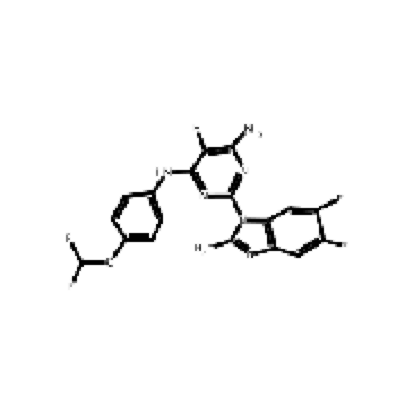 Cc1nc2cc(F)c(F)cc2n1-c1nc(N)c(F)c(Nc2ccc(OC(F)F)cc2)n1